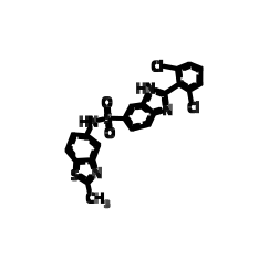 Cc1nc2cc(NS(=O)(=O)c3ccc4nc(-c5c(Cl)cccc5Cl)[nH]c4c3)ccc2s1